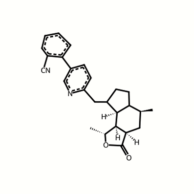 C[C@H]1C[C@H]2C(=O)O[C@H](C)[C@H]2[C@H]2C(Cc3ccc(-c4ccccc4C#N)cn3)CCC21